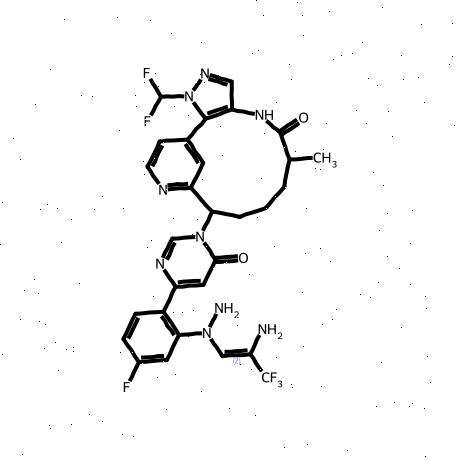 CC1CCCC(n2cnc(-c3ccc(F)cc3N(N)/C=C(\N)C(F)(F)F)cc2=O)c2cc(ccn2)-c2c(cnn2C(F)F)NC1=O